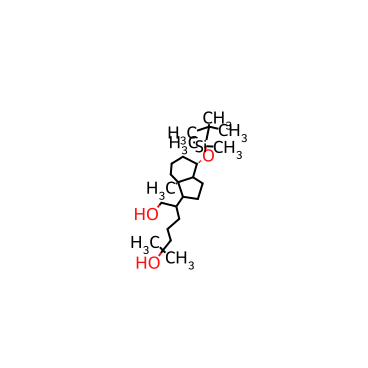 CC(C)(O)CCCC(CO)C1CCC2[C@@H](O[Si](C)(C)C(C)(C)C)CCC[C@]12C